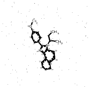 CCC(C)n1c(-c2ccc(OC)cc2)nc2c3ccccc3ccc21